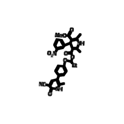 CCC(OC(=O)C1=C(C)NC(C)=C(C(=O)OC)C1c1cccc([N+](=O)[O-])c1)Oc1ccc(-c2cc(C#N)c(=O)[nH]c2C)cc1